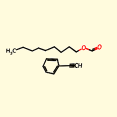 C#Cc1ccccc1.CCCCCCCCCOC=O